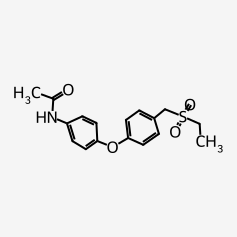 CCS(=O)(=O)Cc1ccc(Oc2ccc(NC(C)=O)cc2)cc1